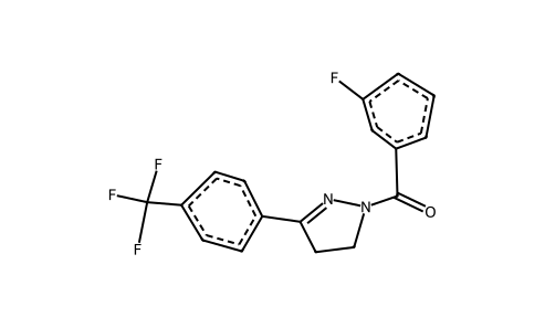 O=C(c1cccc(F)c1)N1CCC(c2ccc(C(F)(F)F)cc2)=N1